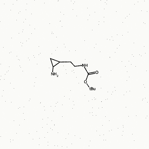 CC(C)(C)OC(=O)NCCC1CC1N